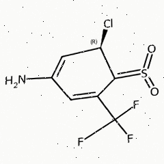 NC1=C[C@@H](Cl)C(=S(=O)=O)C(C(F)(F)F)=C1